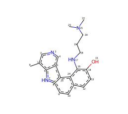 Cc1cncc2c1[nH]c1ccc3ccc(O)c(NCCCN(C)C)c3c12